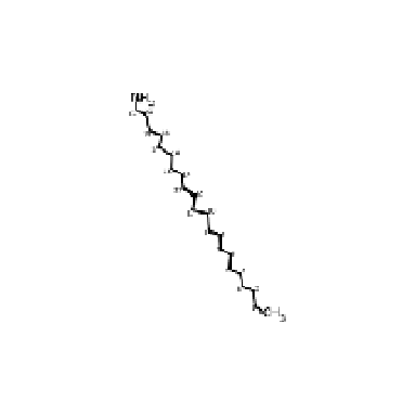 CCCCCCCCC=CCCC=CCCCCCCCCN